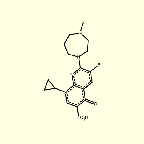 CN1CCCN(c2nc3c(cc2F)c(=O)c(C(=O)O)cn3C2CC2)CC1